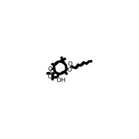 CCCC=CC=CC(=O)OC1CC2C(C=C(C)C(=O)C3(OC(C)=O)CC(C)C(O)C3C=C1C)C2(C)C